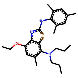 CCCN(CCC)c1c(C)cc(OCC)c2nc(Nc3c(C)cc(C)cc3C)sc12